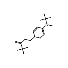 C=C(CCC1C=CC(N(C)C(C)(C)C)=CC1)C(C)(C)C